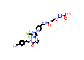 N#Cc1ccc(CCNC(=O)C2CCN2c2cc(N3CCC(CCNC(=O)NCCOCCNC(=O)O)CC3)nc(C(F)(F)F)n2)cc1